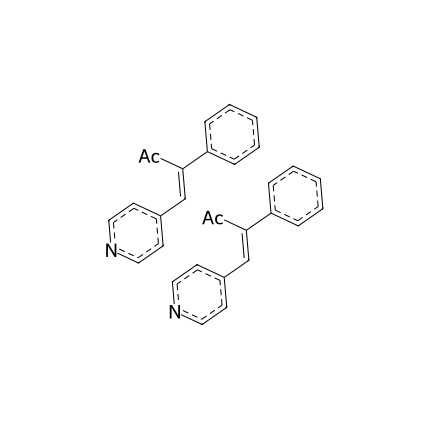 CC(=O)/C(=C\c1ccncc1)c1ccccc1.CC(=O)/C(=C\c1ccncc1)c1ccccc1